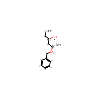 CCCC[C@@H](C[C@H](O)CC(=O)O)OCc1ccccc1